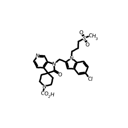 CS(=O)(=O)CCCn1c(CN2C(=O)C3(CCN(C(=O)O)CC3)c3ccncc32)cc2cc(Cl)ccc21